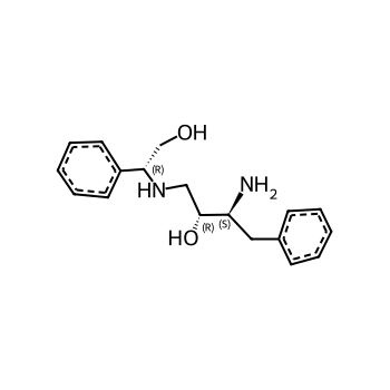 N[C@@H](Cc1ccccc1)[C@H](O)CN[C@@H](CO)c1ccccc1